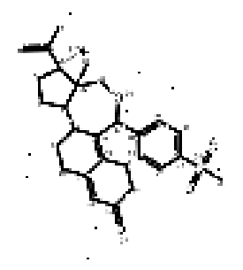 C=C(C)[C@]1(O)CCC2C3CCC4=CC(=O)CCC4=C3C(c3ccc(S(C)(=O)=O)cc3)OCC21C